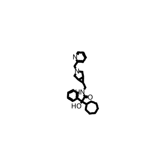 O=C(NCC1C2CN(Cc3ccccn3)CC12)C(O)(c1ccccc1)C1CCCCCC1